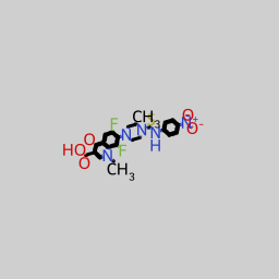 CCn1cc(C(=O)O)c(=O)c2cc(F)c(N3CCN(C(=S)Nc4ccc([N+](=O)[O-])cc4)C(C)C3)c(F)c21